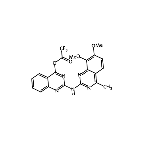 COc1ccc2c(C)nc(Nc3nc(OC(=O)C(F)(F)F)c4ccccc4n3)nc2c1OC